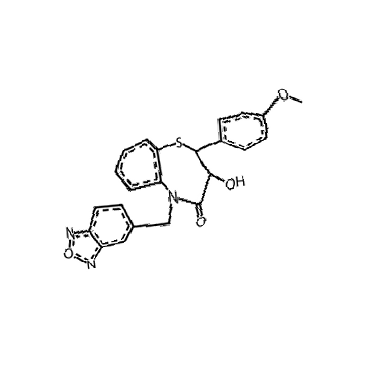 COc1ccc(C2Sc3ccccc3N(Cc3ccc4nonc4c3)C(=O)C2O)cc1